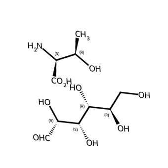 C[C@@H](O)[C@H](N)C(=O)O.O=C[C@H](O)[C@@H](O)[C@H](O)[C@H](O)CO